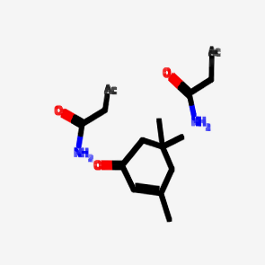 CC(=O)CC(N)=O.CC(=O)CC(N)=O.CC1=CC(=O)CC(C)(C)C1